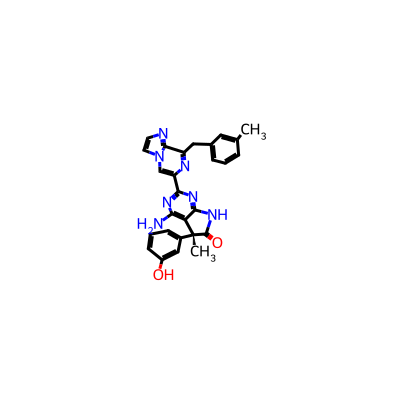 Cc1cccc(Cc2nc(-c3nc(N)c4c(n3)NC(=O)[C@]4(C)c3cccc(O)c3)cn3ccnc23)c1